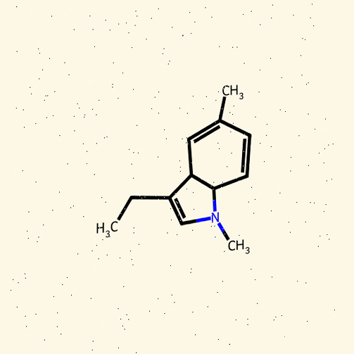 CCC1=CN(C)C2C=CC(C)=CC12